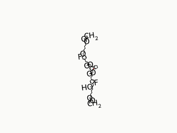 C=CC(=O)OCCCCCCOc1ccc(CCC(=O)Oc2ccc(OC(=O)CCc3ccc(CC(O)CCCCCOC(=O)C=C)c(F)c3)c3c2C2CCC3C2)cc1F